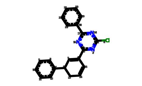 Clc1nc(C2=CC(c3ccccc3)CC=C2)nc(-c2ccccc2)n1